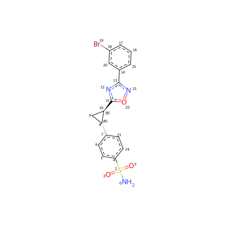 NS(=O)(=O)c1ccc([C@@H]2C[C@H]2c2nc(-c3cccc(Br)c3)no2)cc1